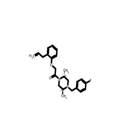 C=CCc1ccccc1OCC(=O)N1C[C@H](C)N(Cc2ccc(F)cc2)C[C@H]1C